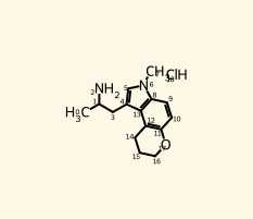 CC(N)Cc1cn(C)c2ccc3c(c12)CCCO3.Cl